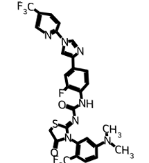 CN(C)c1ccc(C(F)(F)F)c(N2C(=O)CS/C2=N\C(=O)Nc2ccc(-c3cn(-c4ccc(C(F)(F)F)cn4)cn3)cc2F)c1